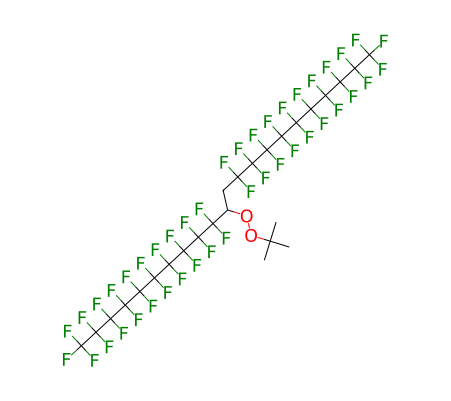 CC(C)(C)OOC(CC(F)(F)C(F)(F)C(F)(F)C(F)(F)C(F)(F)C(F)(F)C(F)(F)C(F)(F)C(F)(F)C(F)(F)F)C(F)(F)C(F)(F)C(F)(F)C(F)(F)C(F)(F)C(F)(F)C(F)(F)C(F)(F)C(F)(F)C(F)(F)F